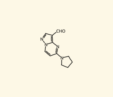 O=Cc1cnn2ccc(N3CCCC3)nc12